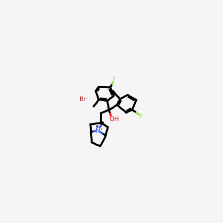 Cc1ccc(F)cc1C(O)(CC1CC2CCC(C1)[N+]2(C)C)c1cc(F)ccc1C.[Br-]